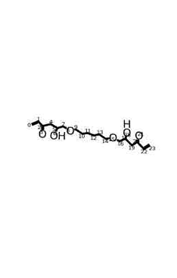 C=CC(=O)CC(O)COCCCCCCOCC(O)CC(=O)C=C